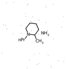 CCCN1CCCCC1C.N